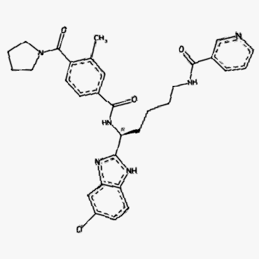 Cc1cc(C(=O)N[C@@H](CCCCNC(=O)c2cccnc2)c2nc3cc(Cl)ccc3[nH]2)ccc1C(=O)N1CCCC1